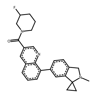 CN1Cc2ccc(-c3cccc4cc(C(=O)N5CCCC(F)C5)cnc34)cc2C12CC2